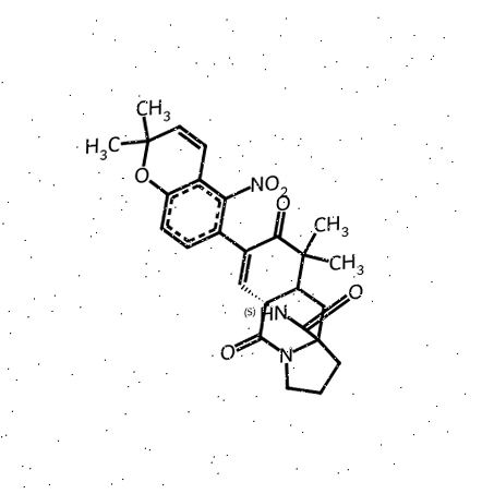 CC1(C)C=Cc2c(ccc(C3=C[C@]45NC(=O)C6(CCCN6C4=O)CC5C(C)(C)C3=O)c2[N+](=O)[O-])O1